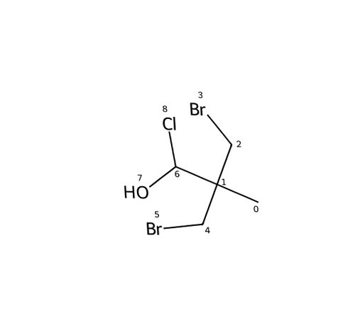 CC(CBr)(CBr)C(O)Cl